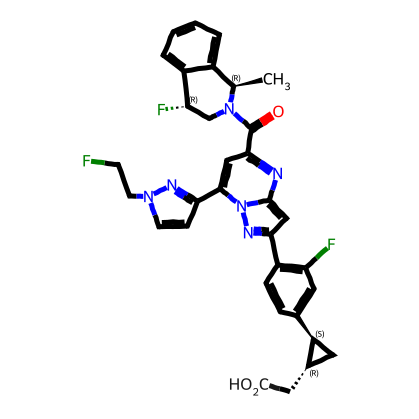 C[C@@H]1c2ccccc2[C@@H](F)CN1C(=O)c1cc(-c2ccn(CCF)n2)n2nc(-c3ccc([C@H]4C[C@@H]4CC(=O)O)cc3F)cc2n1